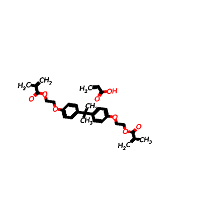 C=C(C)C(=O)OCCOc1ccc(C(C)(C)c2ccc(OCCOC(=O)C(=C)C)cc2)cc1.C=CC(=O)O